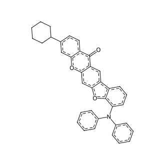 O=c1c2ccc(C3CCCCC3)cc2oc2cc3oc4c(N(c5ccccc5)c5ccccc5)cccc4c3cc12